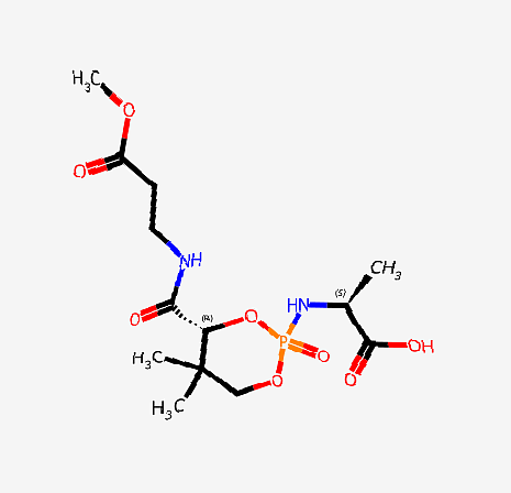 COC(=O)CCNC(=O)[C@@H]1OP(=O)(N[C@@H](C)C(=O)O)OCC1(C)C